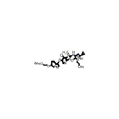 COCCOc1ccc2c(Oc3cnc4nc(N/C(=C/C(=N)C5CC5)C(=O)NCCO)n(C)c4c3Cl)cnn2c1